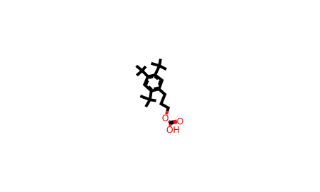 CC(C)(C)c1cc(C(C)(C)C)c(C(C)(C)C)cc1CCCOC(=O)O